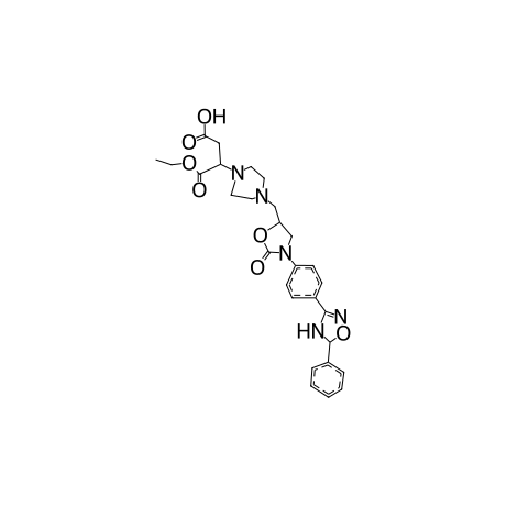 CCOC(=O)C(CC(=O)O)N1CCN(CC2CN(c3ccc(C4=NOC(c5ccccc5)N4)cc3)C(=O)O2)CC1